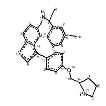 CC(Nc1ccc2ncc(-c3ccc(OCC4CCCN4)cc3)n2n1)c1cccc(F)c1